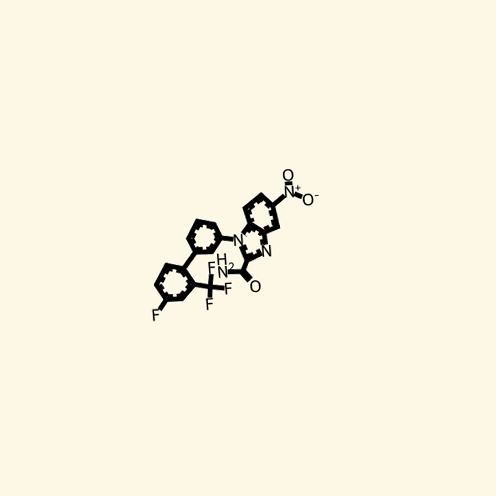 NC(=O)c1nc2cc([N+](=O)[O-])ccc2n1-c1cccc(-c2ccc(F)cc2C(F)(F)F)c1